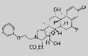 CCOC(=O)C1[C@@H]2C[C@H]3[C@@H]4C[C@H](F)C5=CC(=O)C=C[C@]5(C)[C@@]4(F)[C@@H](O)C[C@]3(C)[C@]2(C(=O)CO)CN1CCOc1ccccc1